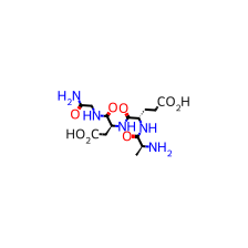 C[C@H](N)C(=O)N[C@@H](CCC(=O)O)C(=O)N[C@@H](CC(=O)O)C(=O)NCC(N)=O